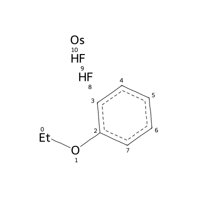 CCOc1ccccc1.F.F.[Os]